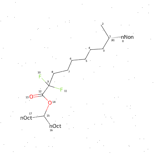 CCCCCCCCC[C@@H](C)CCCCCCC(F)(F)C(=O)OC(CCCCCCCC)CCCCCCCC